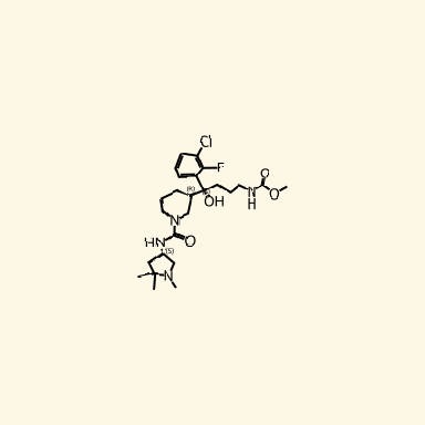 COC(=O)NCCC[C@@](O)(c1cccc(Cl)c1F)[C@@H]1CCCN(C(=O)N[C@@H]2CN(C)C(C)(C)C2)C1